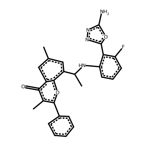 Cc1cc(C(C)Nc2cccc(F)c2-c2nnc(N)o2)c2oc(-c3ccccc3)c(C)c(=O)c2c1